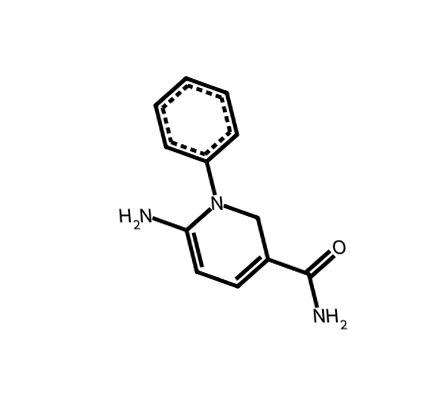 NC(=O)C1=CC=C(N)N(c2ccccc2)C1